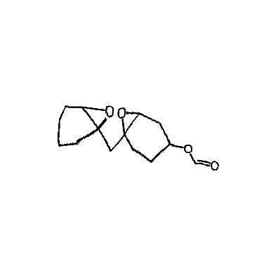 O=COC1CCC2(CC34CCCCC3O4)OC2C1